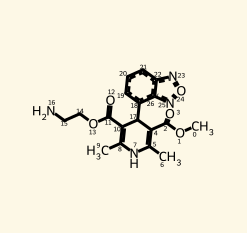 COC(=O)C1=C(C)NC(C)=C(C(=O)OCCN)C1c1cccc2nonc12